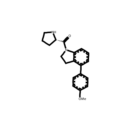 COc1ccc(-c2cccc3c2CCN3C(=O)[C@@H]2CCCN2)cc1